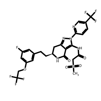 CS(=O)(=O)CC(=O)Nc1c2c(nn1-c1ccc(C(F)(F)F)cn1)C[C@H](CCc1cc(F)cc(OCC(F)(F)F)c1)NC2=O